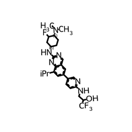 CC(C)c1cc(-c2ccc(NCC(O)C(F)(F)F)nc2)cc2cnc(N[C@H]3CC[C@H](N(C)C)C(F)C3)nc12